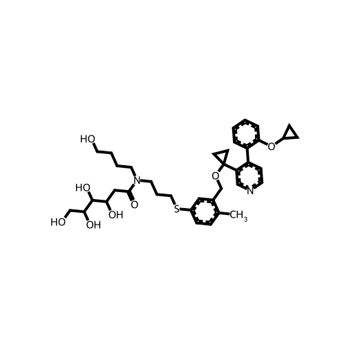 Cc1ccc(SCCCN(CCCCO)C(=O)CC(O)C(O)C(O)CO)cc1COC1(c2cnccc2-c2ccccc2OC2CC2)CC1